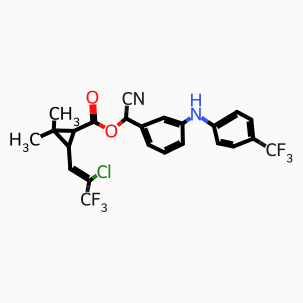 CC1(C)C(C=C(Cl)C(F)(F)F)C1C(=O)OC(C#N)c1cccc(Nc2ccc(C(F)(F)F)cc2)c1